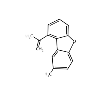 C=C(C)c1cccc2oc3ccc(C)cc3c12